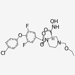 CCOCN1CCN(S(=O)(=O)c2cc(F)c(Oc3ccc(Cl)cc3)c(F)c2)[C@@H](C(=O)NO)C1